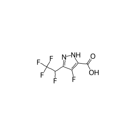 O=C(O)c1[nH]nc(C(F)C(F)(F)F)c1F